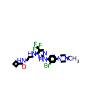 CN1CCN(c2ccc(Nc3ncc(C(F)(F)F)c(NCCCNC(=O)C4CCC4)n3)c(Br)c2)CC1